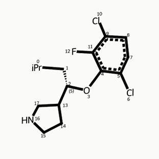 CC(C)C[C@H](Oc1c(Cl)ccc(Cl)c1F)C1CCNC1